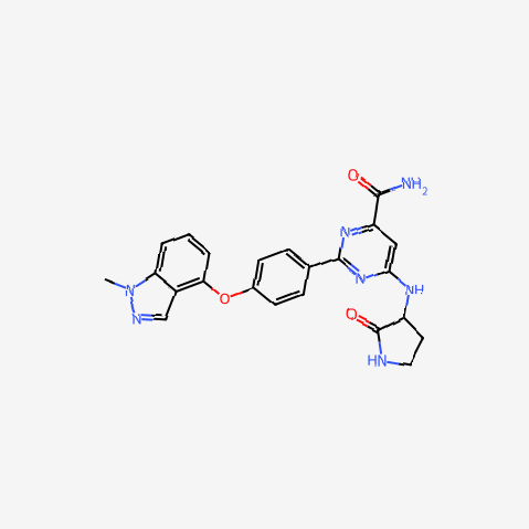 Cn1ncc2c(Oc3ccc(-c4nc(NC5CCNC5=O)cc(C(N)=O)n4)cc3)cccc21